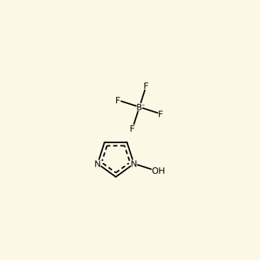 F[B-](F)(F)F.On1ccnc1